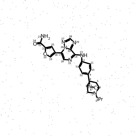 CC(C)N1CC2CCC1CN2c1ccc(Nc2ncc(-c3coc(C(N)=O)c3)n3ncnc23)cc1